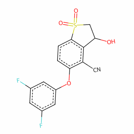 N#Cc1c(Oc2cc(F)cc(F)c2)ccc2c1C(O)CS2(=O)=O